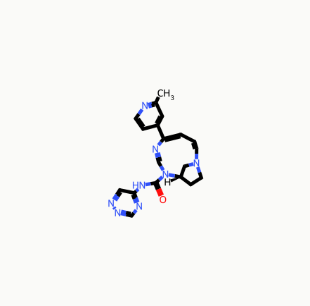 Cc1cc(C2=CC=CN3CC[C@@H](C3)N(C(=O)Nc3cnncn3)C=N2)ccn1